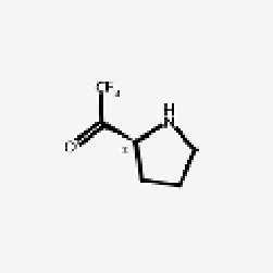 O=C([C@@H]1CCCN1)C(F)(F)F